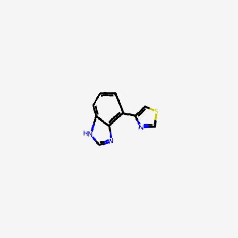 c1cc(-c2cscn2)c2nc[nH]c2c1